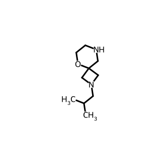 CC(C)CN1CC2(CNCCO2)C1